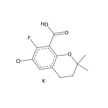 CC1(C)CCc2cc(Cl)c(F)c(C(=O)O)c2O1.[K]